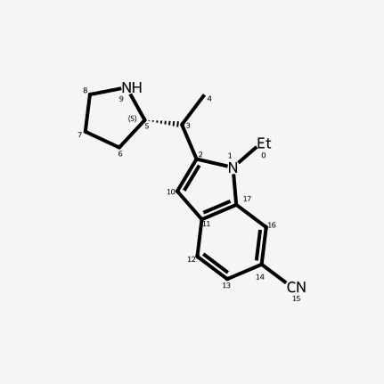 CCn1c(C(C)[C@@H]2CCCN2)cc2ccc(C#N)cc21